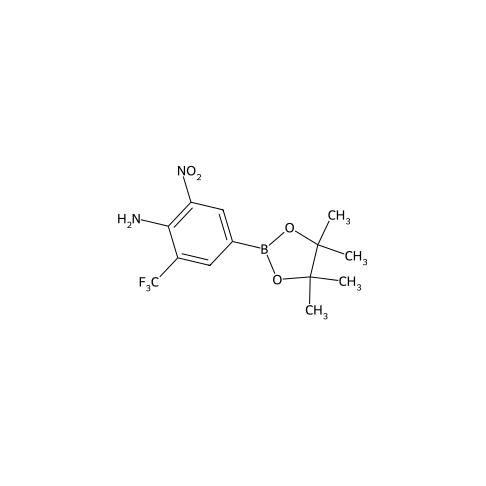 CC1(C)OB(c2cc([N+](=O)[O-])c(N)c(C(F)(F)F)c2)OC1(C)C